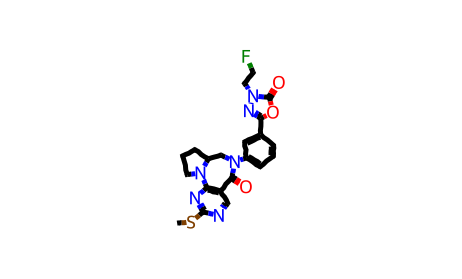 CSc1ncc2c(n1)N1CCCC1CN(c1cccc(-c3nn(CCF)c(=O)o3)c1)C2=O